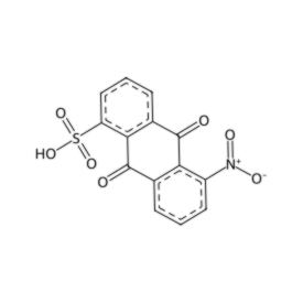 O=C1c2cccc(S(=O)(=O)O)c2C(=O)c2cccc([N+](=O)[O-])c21